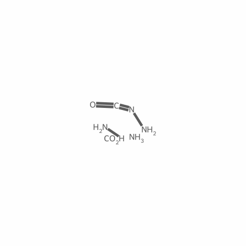 N.NC(=O)O.NN=C=O